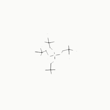 ClC(Cl)(Cl)CO[Si](OCC(Cl)(Cl)Cl)(OCC(Cl)(Cl)Cl)OCC(Cl)(Cl)Cl